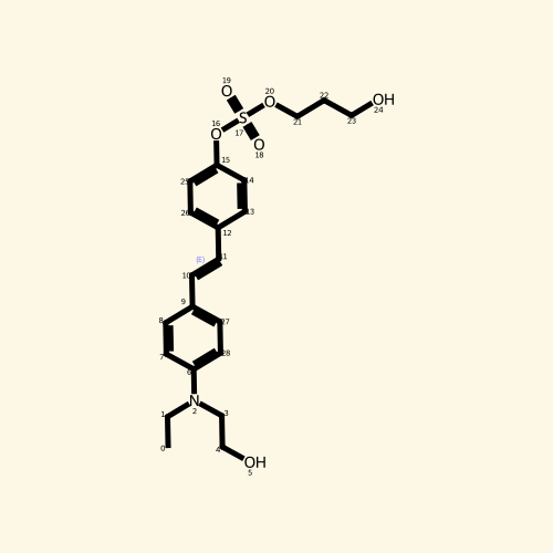 CCN(CCO)c1ccc(/C=C/c2ccc(OS(=O)(=O)OCCCO)cc2)cc1